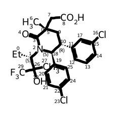 CC[C@H](N1C(=O)[C@](C)(CC(=O)O)C[C@H](c2cccc(Cl)c2)[C@H]1c1ccc(Cl)cc1)C(C)(O)C(F)(F)F